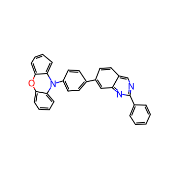 c1ccc(-c2ncc3ccc(-c4ccc(N5c6ccccc6Oc6ccccc65)cc4)cc3n2)cc1